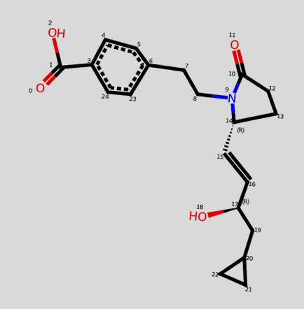 O=C(O)c1ccc(CCN2C(=O)CC[C@@H]2C=C[C@H](O)CC2CC2)cc1